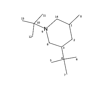 CC1CC(C(C)(C)C)CN(C(C)(C)C)C1